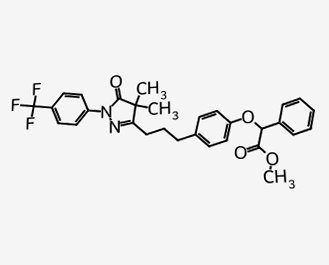 COC(=O)C(Oc1ccc(CCCC2=NN(c3ccc(C(F)(F)F)cc3)C(=O)C2(C)C)cc1)c1ccccc1